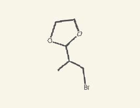 CC(CBr)C1OCCO1